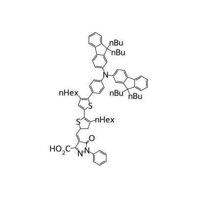 CCCCCCC1=C(c2cc(CCCCCC)c(-c3ccc(N(c4ccc5c(c4)C(CCCC)(CCCC)c4ccccc4-5)c4ccc5c(c4)C(CCCC)(CCCC)c4ccccc4-5)cc3)s2)SC(/C=C2\C(=O)N(c3ccccc3)N=C2C(=O)O)C1